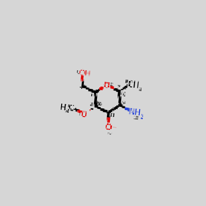 CO[C@@H]1C(CO)O[C@@H](C)C(N)C1O